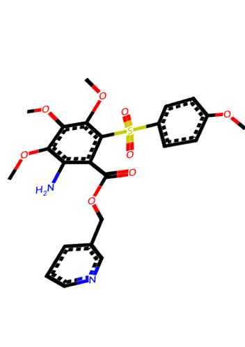 COc1ccc(S(=O)(=O)c2c(OC)c(OC)c(OC)c(N)c2C(=O)OCc2cccnc2)cc1